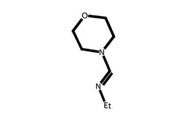 CC/N=C/N1CCOCC1